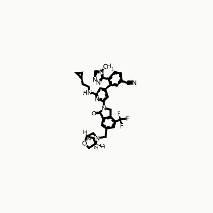 Cn1cnnc1-c1ccc(C#N)cc1-c1cc(NCCC2CC2)nc(N2Cc3c(cc(CN4C[C@@H]5C[C@H]4CO5)cc3C(F)(F)F)C2=O)c1